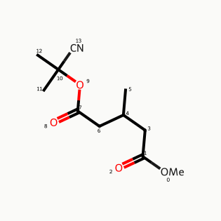 COC(=O)CC(C)CC(=O)OC(C)(C)C#N